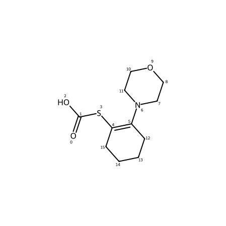 O=C(O)SC1=C(N2CCOCC2)CCCC1